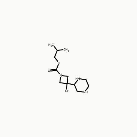 CC(C)COC(=O)N1CC(O)(C2CNCCN2)C1